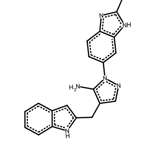 Cc1nc2ccc(-n3ncc(Cc4cc5ccccc5[nH]4)c3N)cc2[nH]1